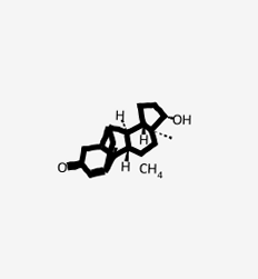 C.C[C@]12CC[C@H]3[C@@H](C4CC5=CC(=O)CC4[C@@]53C)[C@@H]1CC[C@@H]2O